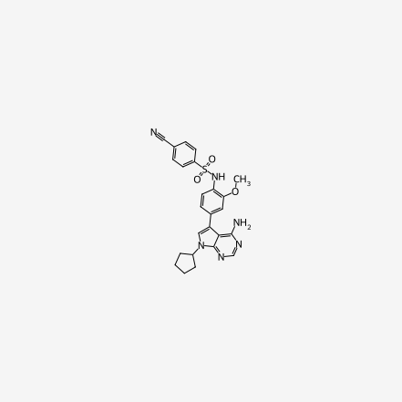 COc1cc(-c2cn(C3CCCC3)c3ncnc(N)c23)ccc1NS(=O)(=O)c1ccc(C#N)cc1